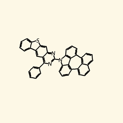 c1ccc(-c2nc(-n3c4cccc5c4c4c(cccc43)-c3cccc4cccc-5c34)nc3cc4sc5ccccc5c4cc23)cc1